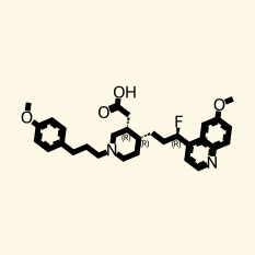 COc1ccc(CCCN2CC[C@@H](CC[C@@H](F)c3ccnc4ccc(OC)cc34)[C@@H](CC(=O)O)C2)cc1